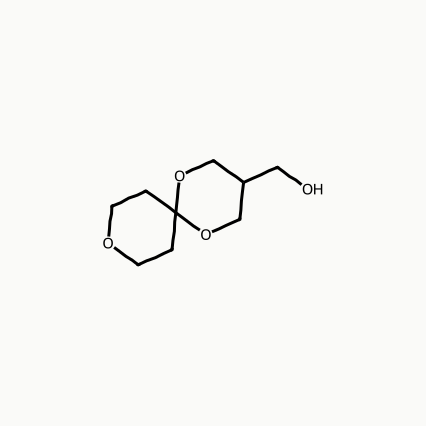 OCC1COC2(CCOCC2)OC1